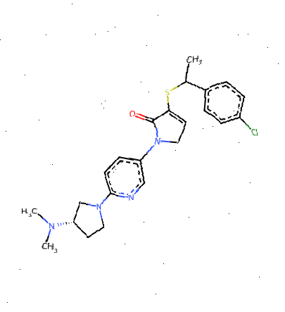 CC(SC1=CCN(c2ccc(N3CC[C@H](N(C)C)C3)nc2)C1=O)c1ccc(Cl)cc1